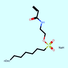 C=CC(=O)NCCOS(=O)(=O)CCCCCCCCCCCCCCCC.[NaH]